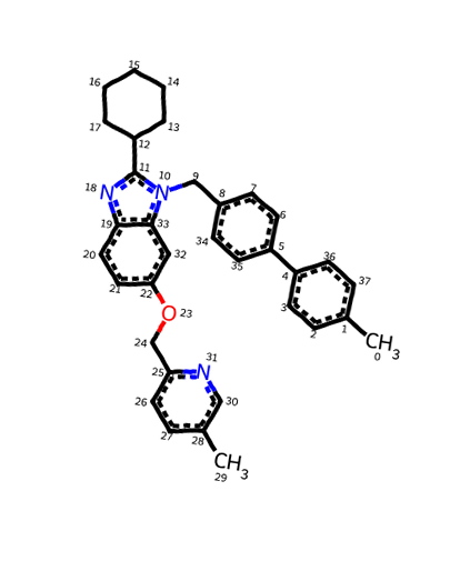 Cc1ccc(-c2ccc(Cn3c(C4CCCCC4)nc4ccc(OCc5ccc(C)cn5)cc43)cc2)cc1